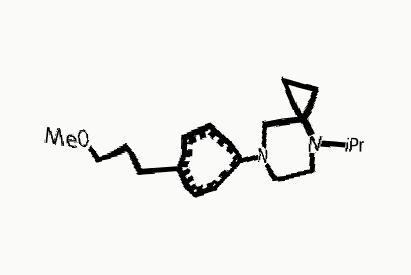 COCCCc1ccc(N2CCN(C(C)C)C3(CC3)C2)cc1